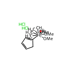 C[O][Hf]([CH3])([CH3])([CH3])([CH3])([CH3])([O]C)([O]C)[C]1=CC=CC1.Cl.Cl